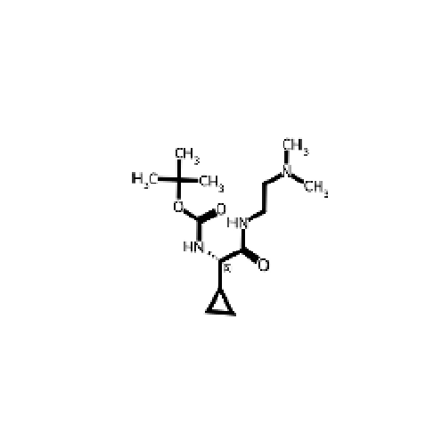 CN(C)CCNC(=O)[C@@H](NC(=O)OC(C)(C)C)C1CC1